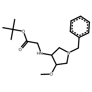 COC1CN(Cc2ccccc2)CC1NCC(=O)OC(C)(C)C